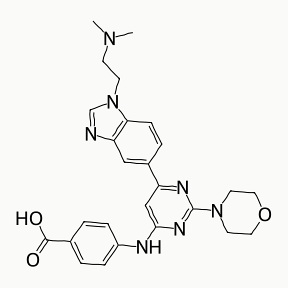 CN(C)CCn1cnc2cc(-c3cc(Nc4ccc(C(=O)O)cc4)nc(N4CCOCC4)n3)ccc21